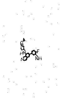 N=Cc1cc(-c2cc(NCC3CCN(OC4CC4)C3)c3cnccc3c2)ccc1F